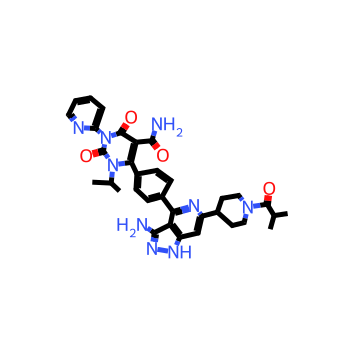 CC(C)C(=O)N1CCC(c2cc3[nH]nc(N)c3c(-c3ccc(-c4c(C(N)=O)c(=O)n(-c5ccccn5)c(=O)n4C(C)C)cc3)n2)CC1